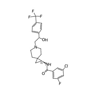 O=C(N[C@H]1CC12CCN(CC(O)c1ccc(C(F)(F)F)cc1)CC2)c1cc(F)cc(Cl)c1